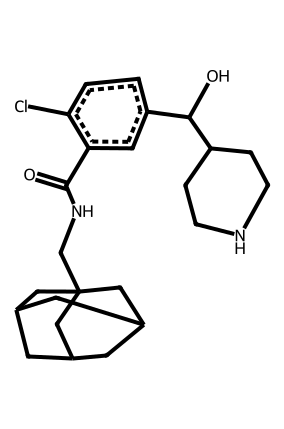 O=C(NCC12CC3CC(CC(C3)C1)C2)c1cc(C(O)C2CCNCC2)ccc1Cl